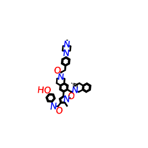 Cc1c(C(=O)N(C)c2ccc(O)cc2)cc(-c2cc3c(cc2C(=O)N2Cc4ccccc4C[C@H]2C)CN(C(=O)Cc2ccc(N4CCN(C)CC4)cc2)CC3)n1C